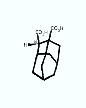 O=C(O)[C@H]1C2CC3CC(C2)CC1(C(=O)O)C3